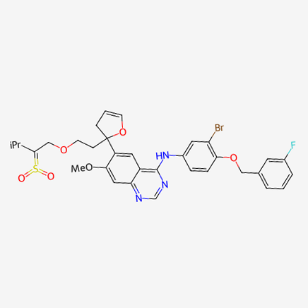 COc1cc2ncnc(Nc3ccc(OCc4cccc(F)c4)c(Br)c3)c2cc1C1(CCOCC(C(C)C)=S(=O)=O)CC=CO1